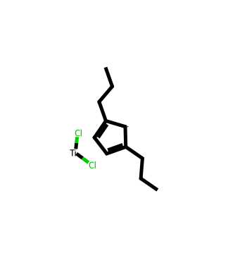 CCCC1=CC=C(CCC)[CH]1.[Cl][Ti][Cl]